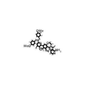 COc1ccc(CN(Cc2ccc(OC)cc2)c2cc(C)c(C(F)(F)F)c(-c3cc4c5c(c3Cl)=NCNC=5N(C(C)c3cccnc3N)C=CO4)n2)cc1